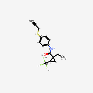 C#CCSc1ccc(NC(=O)C2(CC)CC2C(F)(F)F)cc1